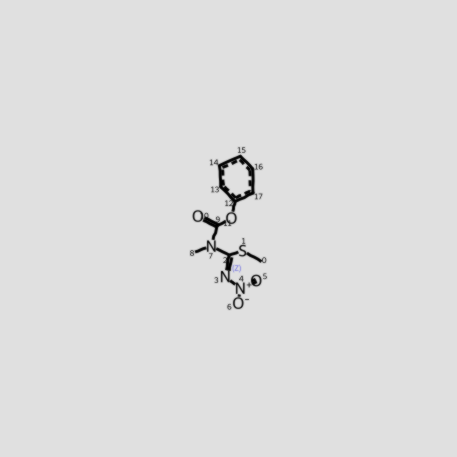 CS/C(=N\[N+](=O)[O-])N(C)C(=O)Oc1ccccc1